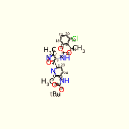 Cc1nc(-c2onc(C)c2NC(=O)O[C@H](C)c2ccccc2Cl)ccc1NC(=O)OC(C)(C)C